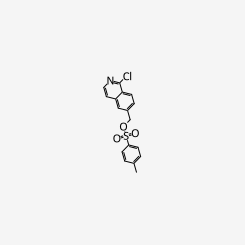 Cc1ccc(S(=O)(=O)OCc2ccc3c(Cl)nccc3c2)cc1